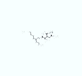 CCCCCC(CCC)COC(=O)C(O)C(CC(=O)O)C(=O)O